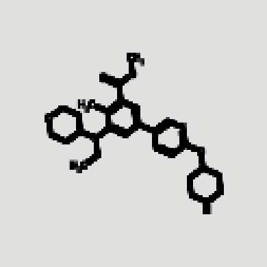 CCN(c1cc(-c2ccc(OC3CCNCC3)nc2)cc(C(=O)OC)c1C)C1CCOCC1